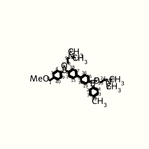 COCc1ccc(B(OCCN(C)C)c2ccc(-c3ccc(B(OCCN(C)C)c4ccc(C)cc4)cc3)cc2)cc1